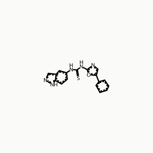 S=C(Nc1ccc2[nH]ncc2c1)Nc1ncc(-c2ccccc2)o1